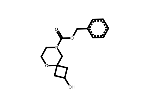 O=C(OCc1ccccc1)N1CCOC2(CC(O)C2)C1